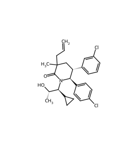 C=CCC1(C)C[C@H](c2cccc(Cl)c2)[C@@H](c2ccc(Cl)cc2)N([C@@H](C2CC2)[C@H](C)O)C1=O